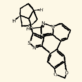 Cc1cc(N2C[C@H]3CC[C@@H](C2)C3Nc2nc3c(-c4ccc5c(c4)OCO5)cccn3n2)sn1